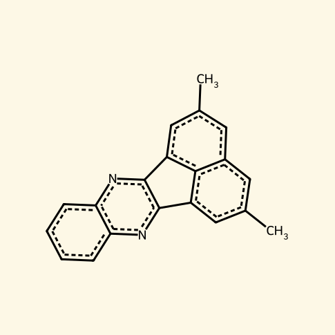 Cc1cc2c3c(cc(C)cc3c1)-c1nc3ccccc3nc1-2